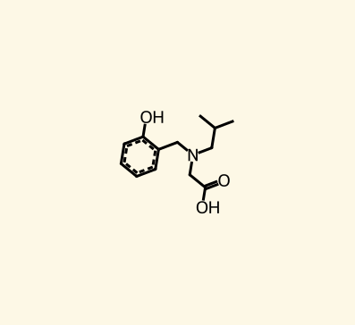 CC(C)CN(CC(=O)O)Cc1ccccc1O